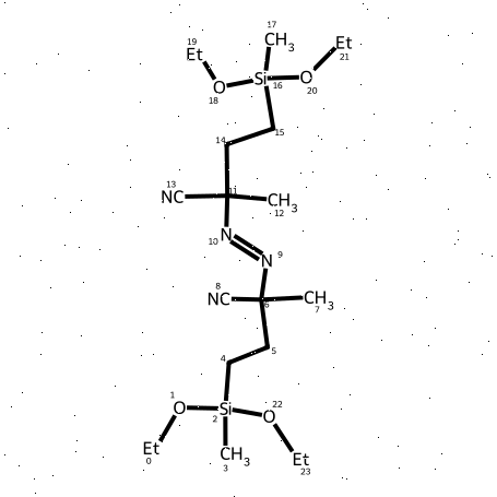 CCO[Si](C)(CCC(C)(C#N)N=NC(C)(C#N)CC[Si](C)(OCC)OCC)OCC